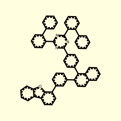 c1ccc(-c2ccccc2-c2nc(-c3ccc(-c4c(-c5cccc(-c6cccc7c6oc6ccccc67)c5)ccc5ccccc45)cc3)nc(-c3ccccc3-c3ccccc3)n2)cc1